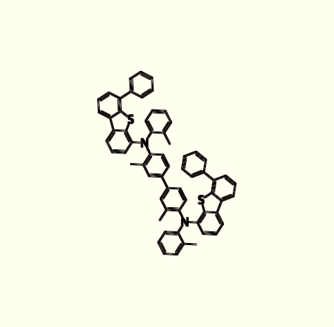 Cc1ccccc1N(c1ccc(-c2ccc(N(c3ccccc3C)c3cccc4c3sc3c(-c5ccccc5)cccc34)c(C)c2)cc1C)c1cccc2c1sc1c(-c3ccccc3)cccc12